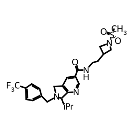 CC(C)C1c2ncc(C(=O)NCCC3CN(S(C)(=O)=O)C3)cc2CN1Cc1ccc(C(F)(F)F)cc1